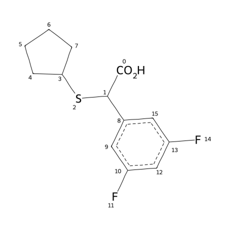 O=C(O)C(SC1CCCC1)c1cc(F)cc(F)c1